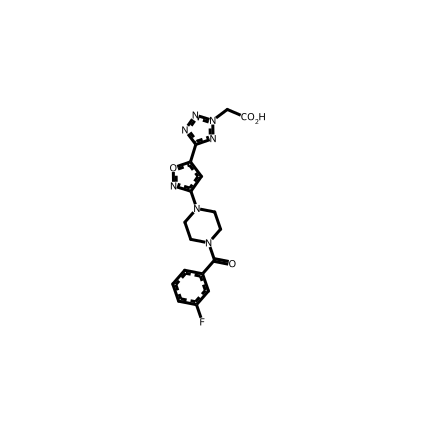 O=C(O)Cn1nnc(-c2cc(N3CCN(C(=O)c4cccc(F)c4)CC3)no2)n1